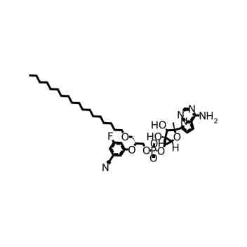 CCCCCCCCCCCCCCCCCCOC[C@H](COP(=O)(O)OC1[C@H]2O[C@@](C)(c3ccc4c(N)ncnn34)[C@H](O)[C@@]12O)Oc1cc(F)cc(C#N)c1